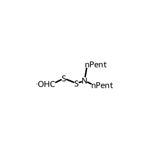 CCCCCN(CCCCC)SS[C]=O